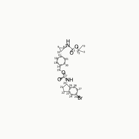 CC(C)(C)OC(=O)N[C@@H]1C[C@H]1c1ccc(COC(=O)N[C@H]2CCc3cc(Br)ccc32)cc1